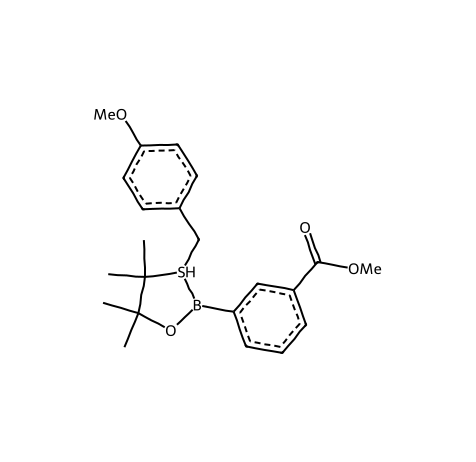 COC(=O)c1cccc(B2OC(C)(C)C(C)(C)[SH]2Cc2ccc(OC)cc2)c1